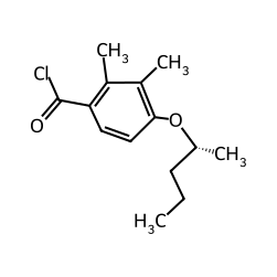 CCC[C@@H](C)Oc1ccc(C(=O)Cl)c(C)c1C